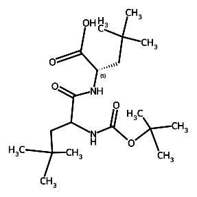 CC(C)(C)CC(NC(=O)OC(C)(C)C)C(=O)N[C@@H](CC(C)(C)C)C(=O)O